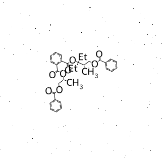 CCC(CC)(OC(=O)c1ccccc1C(=O)OC(C)COC(=O)c1ccccc1)C(C)COC(=O)c1ccccc1